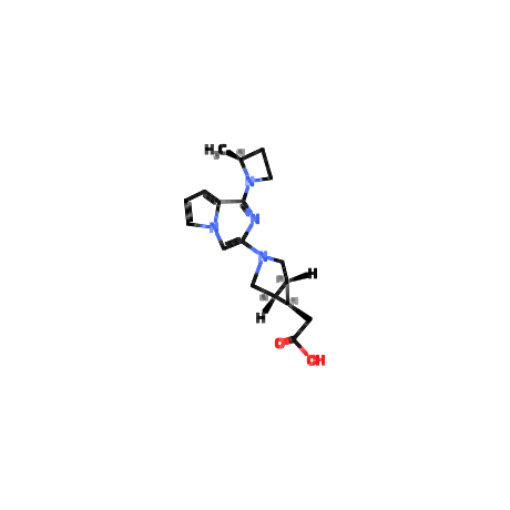 C[C@H]1CCN1c1nc(N2C[C@@H]3[C@@H](CC(=O)O)[C@@H]3C2)cn2cccc12